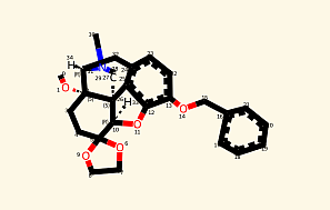 CO[C@@]12CCC3(OCCO3)[C@@H]3Oc4c(OCc5ccccc5)ccc5c4[C@@]31CCN(C)[C@@H]2C5